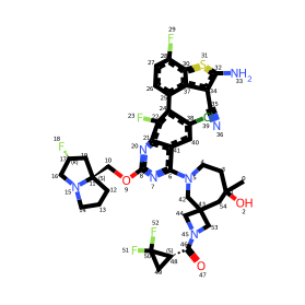 CC1(O)CCN(c2nc(OC[C@@]34CCCN3C[C@H](F)C4)nc3c(F)c(-c4ccc(F)c5sc(N)c(C#N)c45)c(Cl)cc23)CC2(CN(C(=O)[C@@H]3CC3(F)F)C2)C1